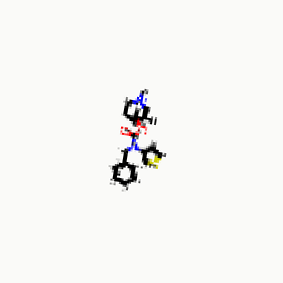 C[N+]12CCC(CC1)[C@@H](OC(=O)N(Cc1ccccc1)c1ccsc1)C2